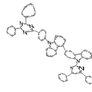 c1ccc(-c2cc(-c3ccccc3)nc(-n3c4ccccc4c4cc(-c5cccc6c5c5ccccc5n6-c5ccc(-c6nc(-c7ccccc7)nc(-c7ccccc7)n6)cc5)ccc43)n2)cc1